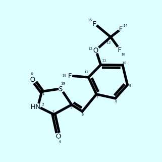 O=C1NC(=O)C(=Cc2cccc(OC(F)(F)F)c2F)S1